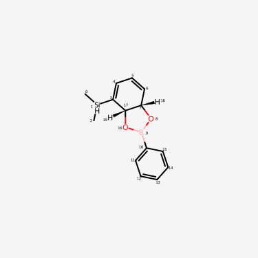 C[SiH](C)C1=CC=C[C@@H]2OB(c3ccccc3)O[C@H]12